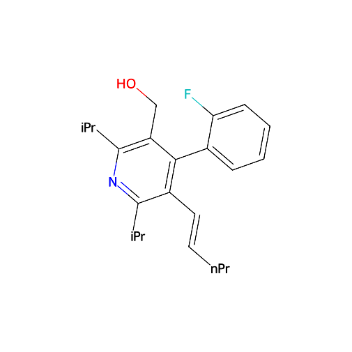 CCC/C=C/c1c(C(C)C)nc(C(C)C)c(CO)c1-c1ccccc1F